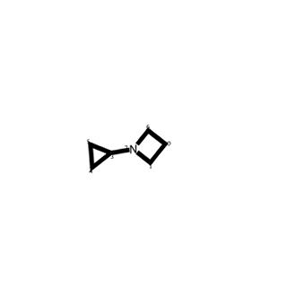 C1CN(C2CC2)C1